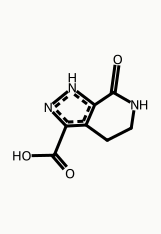 O=C(O)c1n[nH]c2c1CCNC2=O